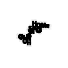 COc1ccccc1Nc1nc(-c2c[nH]c(C(=O)N3CCCC3)c2)cs1